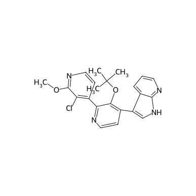 COc1nccc(-c2nccc(-c3c[nH]c4ncccc34)c2OC(C)(C)C)c1Cl